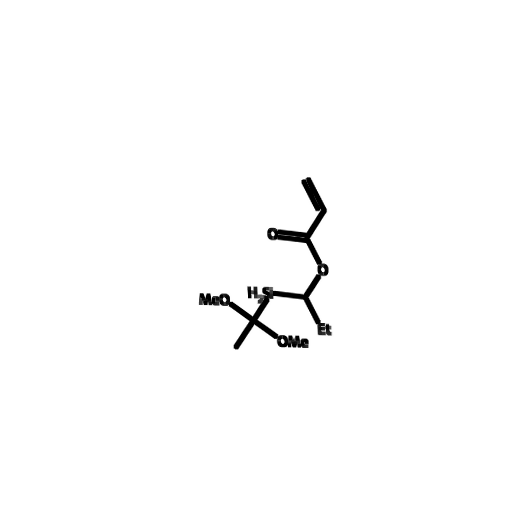 C=CC(=O)OC(CC)[SiH2]C(C)(OC)OC